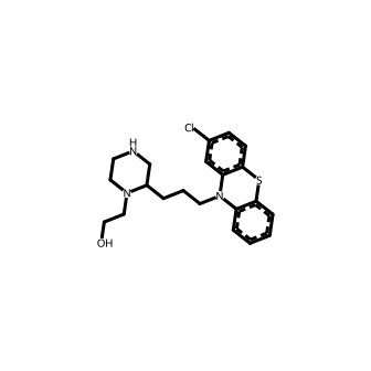 OCCN1CCNCC1CCCN1c2ccccc2Sc2ccc(Cl)cc21